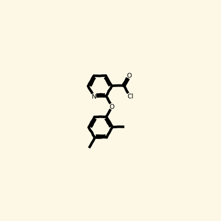 Cc1ccc(Oc2ncccc2C(=O)Cl)c(C)c1